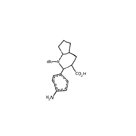 CC(C)(C)N1C2CCCC2CC(C(=O)O)C1c1ccc(N)cc1